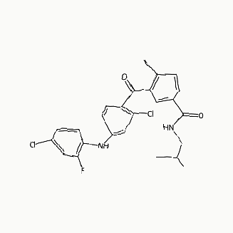 Cc1ccc(C(=O)NCC(C)C)cc1C(=O)c1ccc(Nc2ccc(Cl)cc2F)cc1Cl